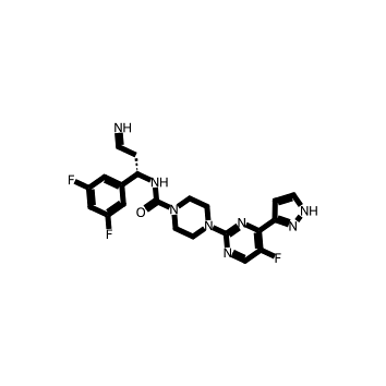 N=CC[C@H](NC(=O)N1CCN(c2ncc(F)c(-c3cc[nH]n3)n2)CC1)c1cc(F)cc(F)c1